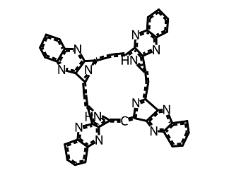 c1ccc2nc3c(nc2c1)-c1cc2[nH]c(cc4nc(cc5[nH]c(cc-3n1)c1nc3ccccc3nc51)-c1nc3ccccc3nc1-4)c1nc3ccccc3nc21